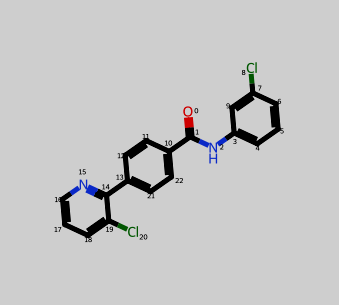 O=C(Nc1cccc(Cl)c1)c1ccc(-c2ncccc2Cl)cc1